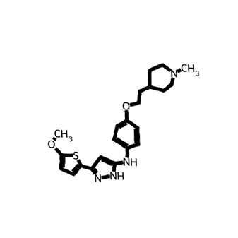 COc1ccc(-c2cc(Nc3ccc(OCCC4CCN(C)CC4)cc3)[nH]n2)s1